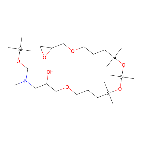 CN(CO[Si](C)(C)C)CC(O)COCCC[Si](C)(C)O[Si](C)(C)O[Si](C)(C)CCCOCC1CO1